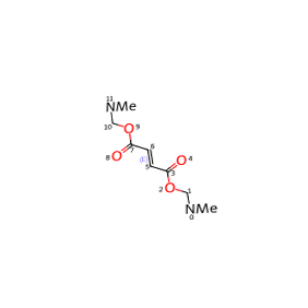 CNCOC(=O)/C=C/C(=O)OCNC